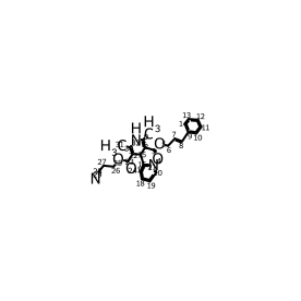 CC1=C(C(=O)OCC=Cc2ccccc2)C(c2ccccn2)C(C(=O)OCCC#N)=C(C)N1